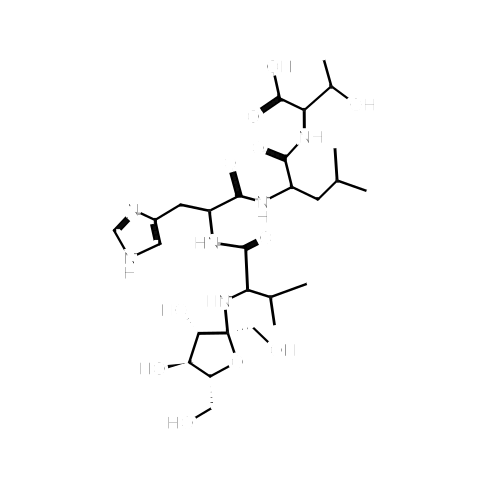 CC(C)CC(NC(=O)C(Cc1c[nH]cn1)NC(=O)C(N[C@@]1(CO)O[C@H](CO)[C@@H](O)[C@@H]1O)C(C)C)C(=O)NC(C(=O)O)C(C)O